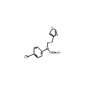 CCCCCCCN(CCc1cs[c]n1)c1ccc(Cl)cn1